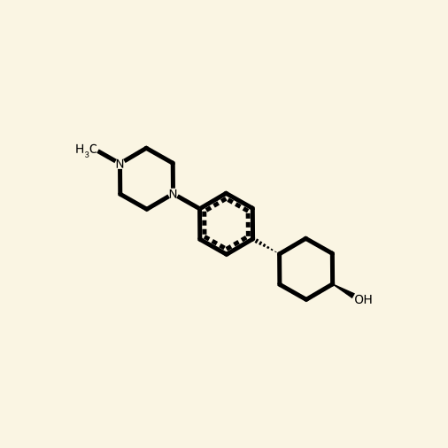 CN1CCN(c2ccc([C@H]3CC[C@H](O)CC3)cc2)CC1